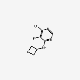 Cc1ncnc(NC2COC2)c1F